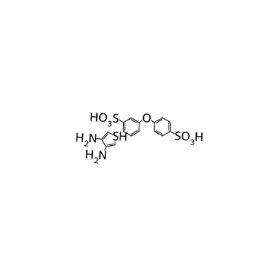 NC1=C[SH](c2ccc(Oc3ccc(S(=O)(=O)O)cc3)cc2S(=O)(=O)O)C=C1N